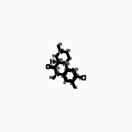 Cc1cc2c(nc1Cl)N1CCN(C)C[C@@H]1C(=O)N2C